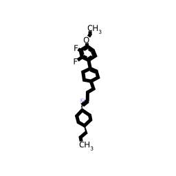 CCC[C@H]1CC[C@H](/C=C/CCC2CC=C(c3ccc(OCC)c(F)c3F)CC2)CC1